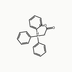 COC(=O)[CH][PH](c1ccccc1)(c1ccccc1)c1ccccc1